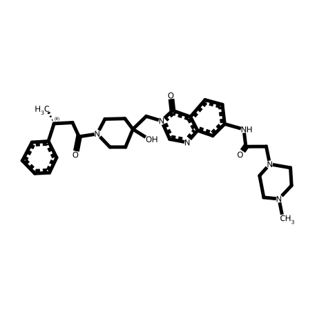 C[C@H](CC(=O)N1CCC(O)(Cn2cnc3cc(NC(=O)CN4CCN(C)CC4)ccc3c2=O)CC1)c1ccccc1